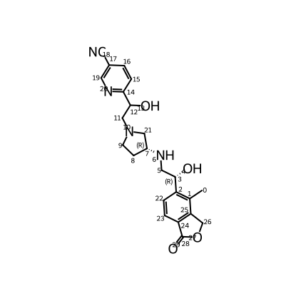 Cc1c([C@@H](O)CN[C@@H]2CCN(CC(O)c3ccc(C#N)cn3)C2)ccc2c1COC2=O